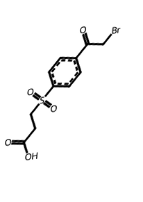 O=C(O)CCS(=O)(=O)c1ccc(C(=O)CBr)cc1